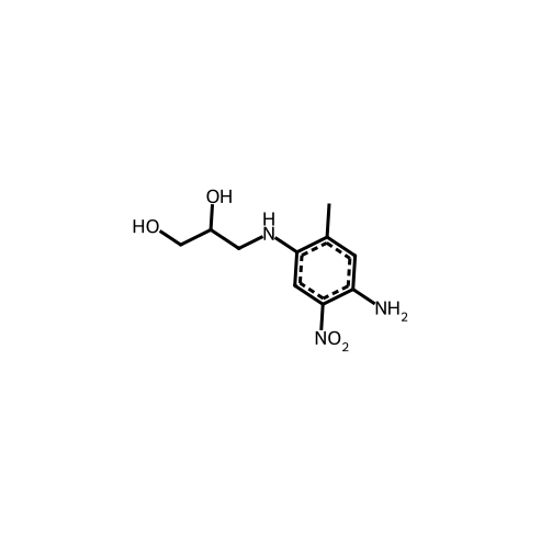 Cc1cc(N)c([N+](=O)[O-])cc1NCC(O)CO